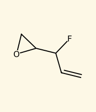 C=CC(F)C1CO1